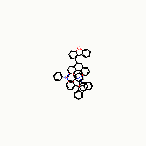 C1=CCCC(N(c2ccccc2)c2cccc3cc(-c4cccc5oc6ccccc6c45)c4ccc(N(c5ccccc5)c5cccc(C6(c7ccccc7)c7ccccc7-c7ccccc76)c5)cc4c23)=C1